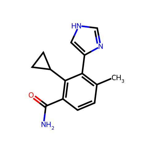 Cc1ccc(C(N)=O)c(C2CC2)c1-c1c[nH]cn1